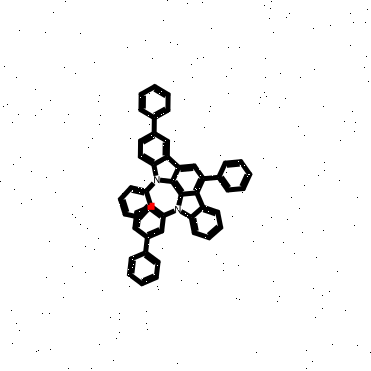 c1ccc(-c2cccc(-n3c4ccccc4c4c(-c5ccccc5)cc5c6cc(-c7ccccc7)ccc6n(-c6ccccc6)c5c43)c2)cc1